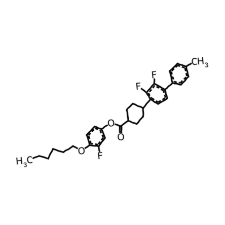 CCCCCCOc1ccc(OC(=O)C2CCC(c3ccc(-c4ccc(C)cc4)c(F)c3F)CC2)cc1F